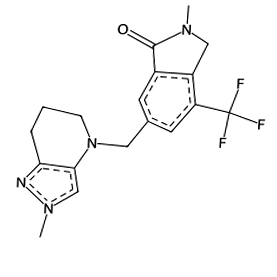 CN1Cc2c(cc(CN3CCCc4nn(C)cc43)cc2C(F)(F)F)C1=O